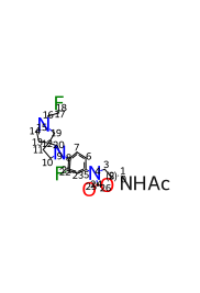 CC(=O)NC[C@H]1CN(c2ccc(N3CCC4(CCN(CCF)C4)C3)c(F)c2)C(=O)O1